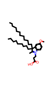 CCCCCCCCCCCCC1(CCCCCCCCC)C(C)=[N+](CCC(=O)O)c2ccc(OC)cc21